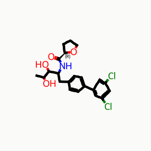 CC(O)C(O)C(Cc1ccc(-c2cc(Cl)cc(Cl)c2)cc1)NC(=O)[C@H]1CCCO1